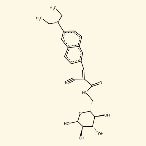 CCN(CC)c1ccc2cc(/C=C(\C#N)C(=O)NC[C@H]3OC(O)[C@H](O)[C@@H](O)[C@@H]3O)ccc2c1